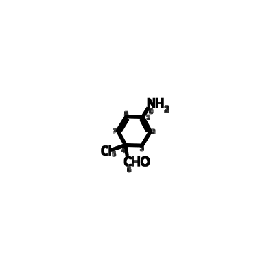 NC1=CCC(Cl)(C=O)C=C1